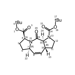 CC(C)(C)OC(=O)[C@@H]1CC[C@@H]2C=C[C@H]3CCN(C(=O)OC(C)(C)C)[C@@H]3C(=O)N21